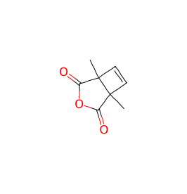 CC12C=CC1(C)C(=O)OC2=O